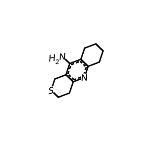 Nc1c2c(nc3c1CSCC3)CCCC2